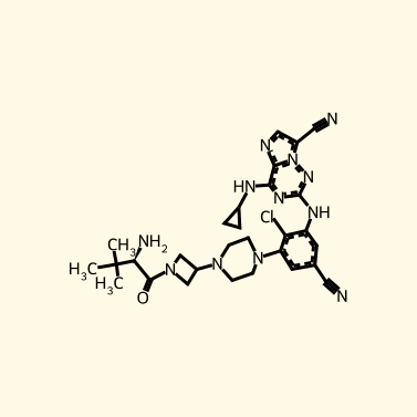 CC(C)(C)[C@@H](N)C(=O)N1CC(N2CCN(c3cc(C#N)cc(Nc4nc(NC5CC5)c5ncc(C#N)n5n4)c3Cl)CC2)C1